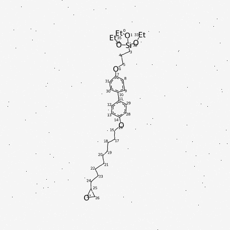 CCO[Si](CCCOc1ccc(-c2ccc(OCCCCCCCCCC3CO3)cc2)cc1)(OCC)OCC